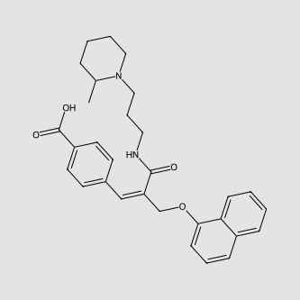 CC1CCCCN1CCCNC(=O)C(=Cc1ccc(C(=O)O)cc1)COc1cccc2ccccc12